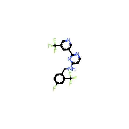 Fc1ccc(CNc2ccnc(-c3cncc(C(F)(F)F)c3)n2)c(C(F)(F)F)c1